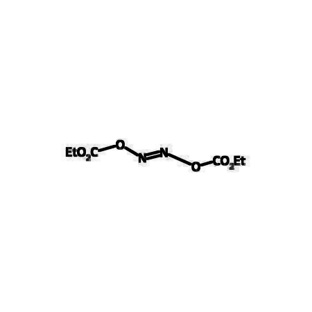 CCOC(=O)ON=NOC(=O)OCC